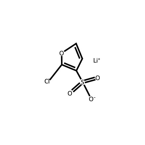 O=S(=O)([O-])c1ccoc1Cl.[Li+]